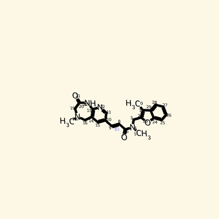 Cc1c(CN(C)C(=O)/C=C/c2cnc3c(c2)CN(C)CC(=O)N3)oc2ccccc12